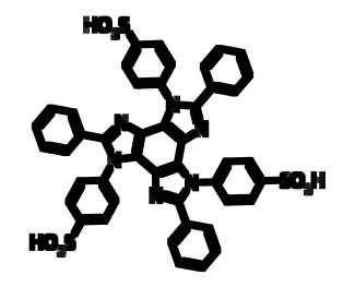 O=S(=O)(O)c1ccc(-n2c(-c3ccccc3)nc3c2c2nc(-c4ccccc4)n(-c4ccc(S(=O)(=O)O)cc4)c2c2nc(-c4ccccc4)n(-c4ccc(S(=O)(=O)O)cc4)c32)cc1